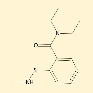 CCN(CC)C(=O)c1ccccc1SNC